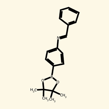 CC1(C)OB(c2ccc(N=Cc3ccccc3)cc2)OC1(C)C